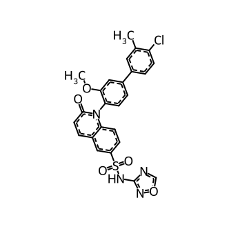 COc1cc(-c2ccc(Cl)c(C)c2)ccc1-n1c(=O)ccc2cc(S(=O)(=O)Nc3ncon3)ccc21